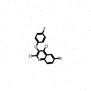 Fc1ccc(Oc2c(Cl)nc3ccc(Br)cc3c2Cl)cc1